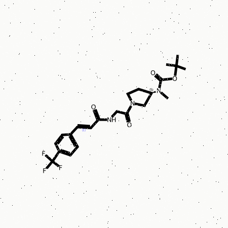 CN(C(=O)OC(C)(C)C)[C@H]1CCN(C(=O)CNC(=O)/C=C/c2ccc(C(F)(F)F)cc2)C1